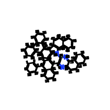 c1ccc(-c2ccc(-c3nc4ccc5ccccc5c4nc3-n3c4ccc5c6ccccc6c6ccccc6c5c4c4ccc5ccccc5c43)c3ccccc23)cc1